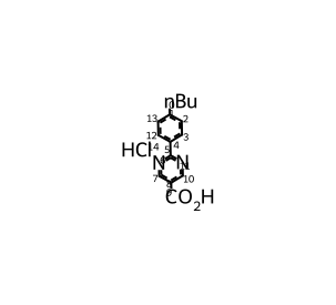 CCCCc1ccc(-c2ncc(C(=O)O)cn2)cc1.Cl